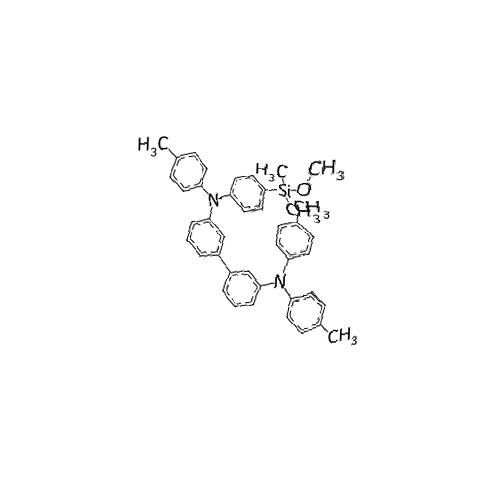 CO[Si](C)(C)c1ccc(N(c2ccc(C)cc2)c2cccc(-c3cccc(N(c4ccc(C)cc4)c4ccc(C)cc4)c3)c2)cc1